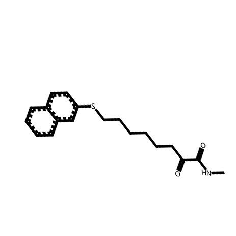 CNC(=O)C(=O)CCCCCCSc1ccc2ccccc2c1